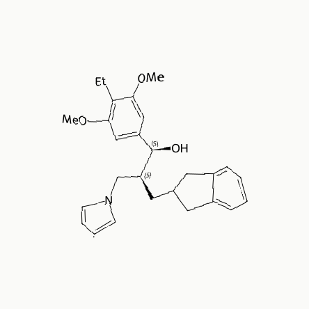 CCc1c(OC)cc([C@@H](O)[C@@H](CC2Cc3ccccc3C2)Cn2c[c]cc2)cc1OC